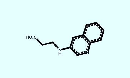 O=C(O)CCNc1cnc2ccccc2c1